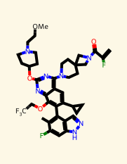 C=C(F)C(=O)N1CC2(CCN(c3nc(OC4CCN(CCOC)CC4)nc4c(OCC(F)(F)F)c(-c5c(C)c(F)cc6[nH]ncc56)c(C5CC5)cc34)CC2)C1